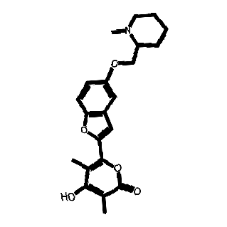 Cc1c(-c2cc3cc(OCC4CCCCN4C)ccc3o2)oc(=O)c(C)c1O